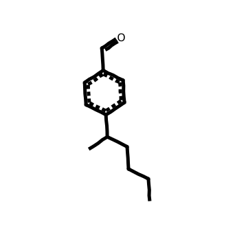 CCCCC(C)c1ccc(C=O)cc1